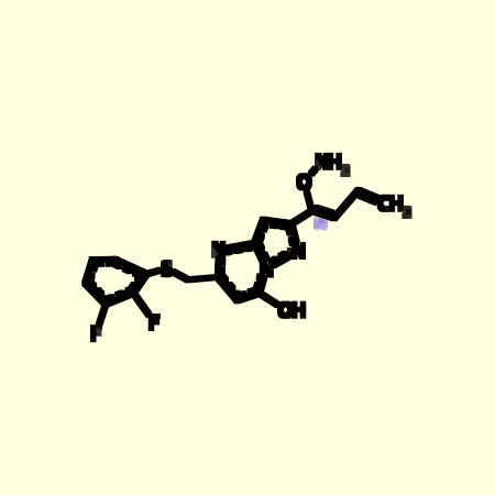 C=C/C=C(\ON)c1cc2nc(CSc3cccc(F)c3F)cc(O)n2n1